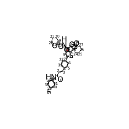 O=C(C=Cc1ccc(-c2ccc([C@@]3(CC(=O)NOC4CCCCO4)CCCCS3(=O)=O)s2)cc1)Nc1ccc(F)cc1